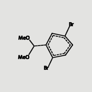 COC(OC)c1cc(Br)ccc1Br